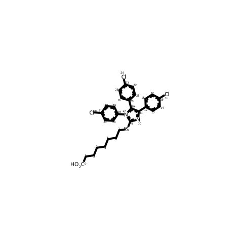 O=C(O)CCCCCCCSc1nc(-c2ccc(Cl)cc2)c(-c2ccc(Cl)cc2)n1-c1ccc(Cl)cc1